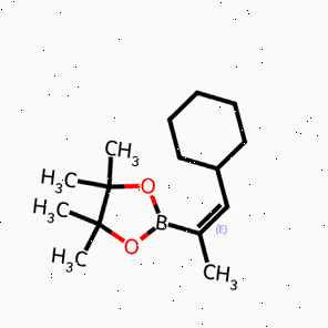 C/C(=C/C1CCCCC1)B1OC(C)(C)C(C)(C)O1